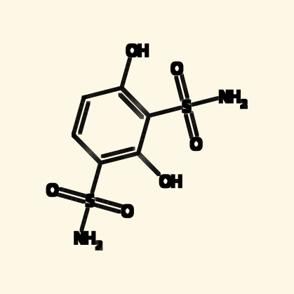 NS(=O)(=O)c1ccc(O)c(S(N)(=O)=O)c1O